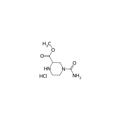 COC(=O)C1CN(C(N)=O)CCN1.Cl